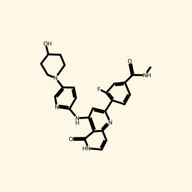 CNC(=O)c1ccc(-c2cc(Nc3ccc(N4CCC(O)CC4)cn3)c3c(=O)[nH]ccc3n2)c(F)c1